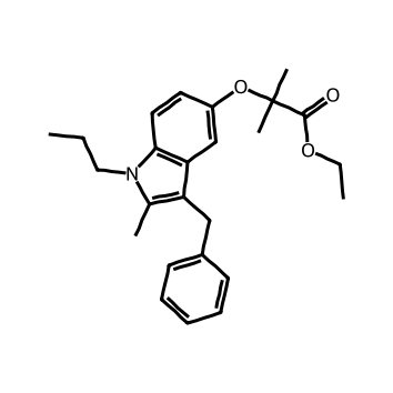 CCCn1c(C)c(Cc2ccccc2)c2cc(OC(C)(C)C(=O)OCC)ccc21